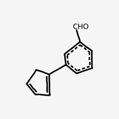 O=Cc1cccc(C2=CC=CC2)c1